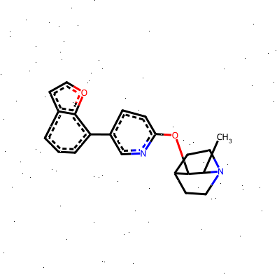 CC1C(Oc2ccc(-c3cccc4ccoc34)cn2)C2CCN1CC2